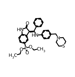 CCOP(=O)(OCC)c1ccc2c(c1)C(=C(Nc1ccc(CN3CCSCC3)cc1)c1ccccc1)C(=O)N2